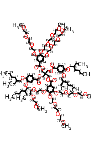 CCCCC(CC)COc1ccc(C(=O)OCC(COC(=O)c2ccc(OCC(CC)CCCC)c(OCC(CC)CCCC)c2)(COC(=O)c2cc(OCCOCCOCCOC)c(OCCOCCOCCOC)c(OCCOCCOCCOC)c2)COC(=O)c2cc(OCCOCCOCCOC)c(OCCOCCOCCOC)c(OCCOCCOCCOC)c2)cc1OCC(CC)CCCC